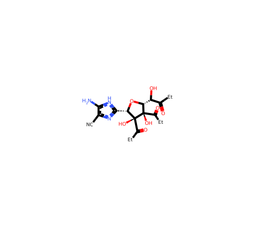 CCC(=O)C(O)[C@H]1O[C@@H](c2nc(C#N)c(N)[nH]2)[C@@](O)(C(=O)CC)[C@@]1(O)C(=O)CC